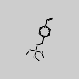 C=Cc1ccc(CO[Si](OC)(OC)OC)cc1